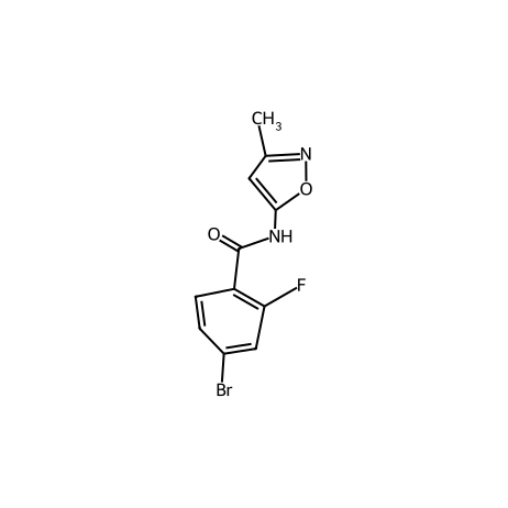 Cc1cc(NC(=O)c2ccc(Br)cc2F)on1